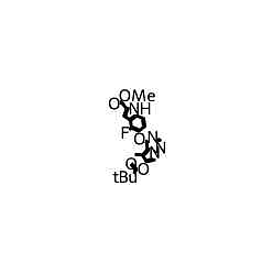 COC(=O)c1cc2c(F)c(Oc3ncnn4cc(OC(=O)C(C)(C)C)c(C)c34)ccc2[nH]1